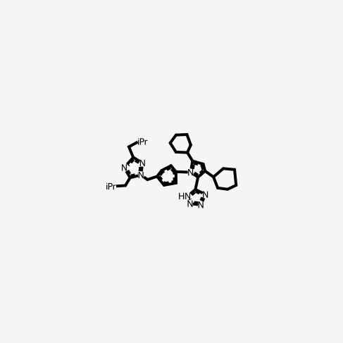 CC(C)Cc1nc(CC(C)C)n(Cc2ccc(-n3c(C4CCCCC4)cc(C4CCCCC4)c3-c3nnn[nH]3)cc2)n1